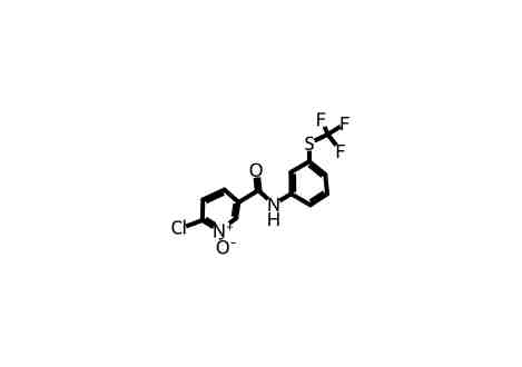 O=C(Nc1cccc(SC(F)(F)F)c1)c1ccc(Cl)[n+]([O-])c1